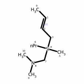 C/C=C/C[Si](C)(CCC)CN(C)C